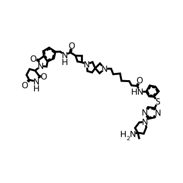 CC1(N)CCN(c2cnc(Sc3cccc(NC(=O)CCCCCCN4CC5(CCN(C6CC(C(=O)NCc7ccc8c(c7)CN(C7CCC(=O)NC7=O)C8=O)C6)C5)C4)c3)cn2)CC1